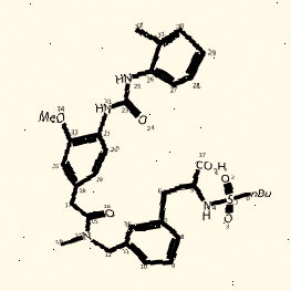 CCCCS(=O)(=O)NC(Cc1cccc(CN(C)C(=O)Cc2ccc(NC(=O)Nc3ccccc3C)c(OC)c2)c1)C(=O)O